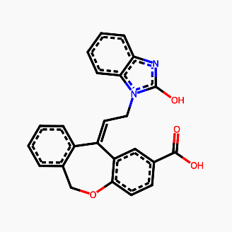 O=C(O)c1ccc2c(c1)C(=CCn1c(O)nc3ccccc31)c1ccccc1CO2